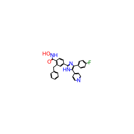 O=C(NO)c1ccc(-c2nc(-c3ccc(F)cc3)c(-c3ccncc3)[nH]2)cc1Cc1ccccc1